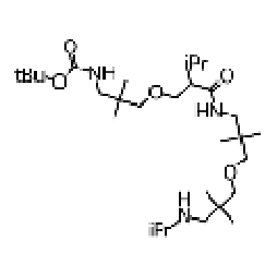 CC(C)NCC(C)(C)COCC(C)(C)CNC(=O)C(COCC(C)(C)CNC(=O)OC(C)(C)C)C(C)C